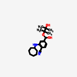 CC(C)(O)C(C)(C)OB(O)c1ccc(C#N)c(NC2CCCCCC2)c1